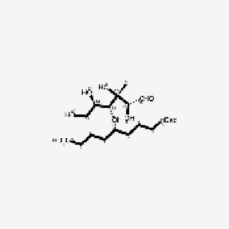 CCCCCCCCCCCCCCCCCC(=O)O.C[C@](O)([C@H](O)[C@H](O)CO)[C@@H](O)C=O